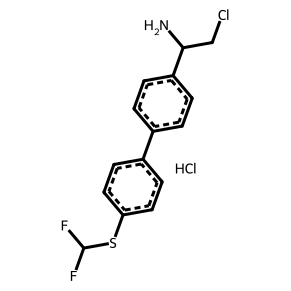 Cl.NC(CCl)c1ccc(-c2ccc(SC(F)F)cc2)cc1